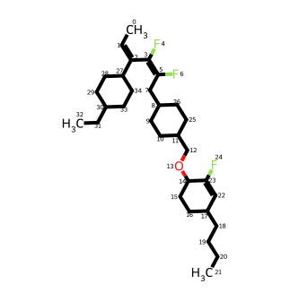 C/C=C(\C(F)=C(\F)CC1CCC(COC2CCC(CCCC)C=C2F)CC1)C1CCC(CC)CC1